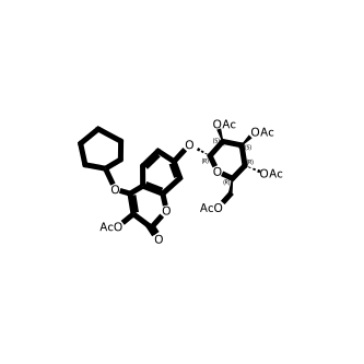 CC(=O)OC[C@H]1O[C@H](Oc2ccc3c(OC4CCCCC4)c(OC(C)=O)c(=O)oc3c2)[C@@H](OC(C)=O)[C@@H](OC(C)=O)[C@@H]1OC(C)=O